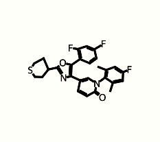 Cc1cc(F)cc(C)c1-n1cc(-c2nc(C3CCSCC3)oc2-c2ccc(F)cc2F)ccc1=O